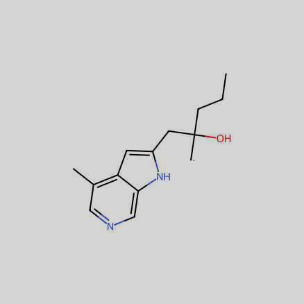 [CH2]C(O)(CCC)Cc1cc2c(C)cncc2[nH]1